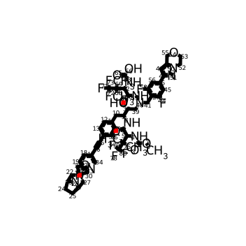 COC(=O)NC(C(=O)NC(Cc1ccc(C#Cc2ccc(N3CC4CCC(C3)N4C3COC3)nc2)cc1)C(O)CN(Cc1c(F)cc(-c2cc3n(n2)CCOC3)cc1F)NC(=O)C(NC(=O)O)C(C)(C)C(F)(F)F)C(C)(C)C(F)(F)F